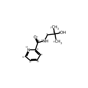 CC(C)(O)CNC(=O)c1ccccn1